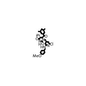 COc1ccc(CNc2cc(Cn3c(C(=O)c4cc(C)cc(C)c4)c(C(C)C)c(=O)[nH]c3=O)cc(Cl)n2)cc1